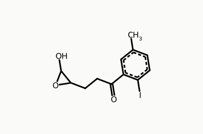 Cc1ccc(I)c(C(=O)CCC2OC2O)c1